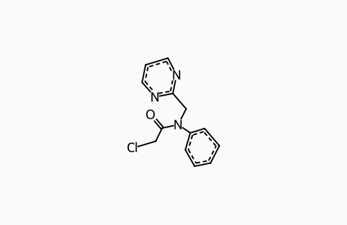 O=C(CCl)N(Cc1ncccn1)c1ccccc1